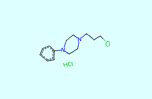 Cl.ClCCCN1CCN(c2ccccc2)CC1